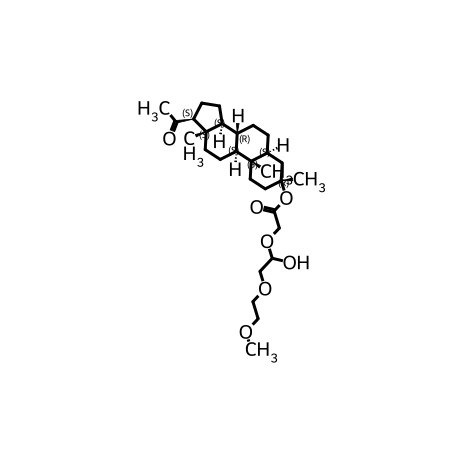 COCCOCC(O)OCC(=O)O[C@]1(C)CC[C@@]2(C)[C@@H](CC[C@@H]3[C@@H]2CC[C@]2(C)[C@@H](C(C)=O)CC[C@@H]32)C1